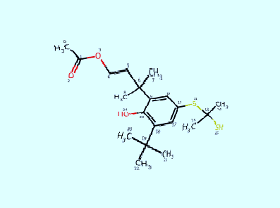 CC(=O)OCCC(C)(C)c1cc(SC(C)(C)S)cc(C(C)(C)C)c1O